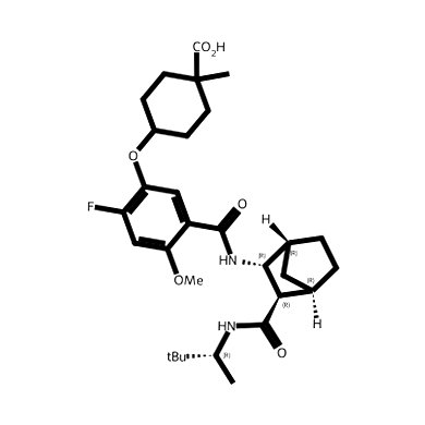 COc1cc(F)c(OC2CCC(C)(C(=O)O)CC2)cc1C(=O)N[C@@H]1[C@@H]2CC[C@H](C2)[C@H]1C(=O)N[C@H](C)C(C)(C)C